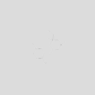 CC1(C)CC(N)CC(C)(CN)C1.NC1CCC(N)CC1